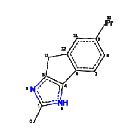 Cc1nc2c([nH]1)-c1ccc(C(C)C)cc1C2